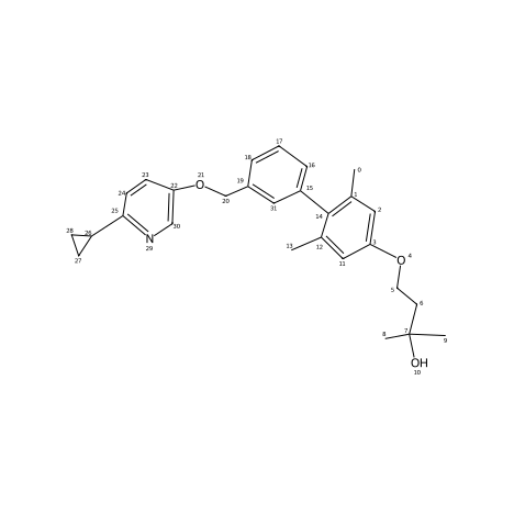 Cc1cc(OCCC(C)(C)O)cc(C)c1-c1cccc(COc2ccc(C3CC3)nc2)c1